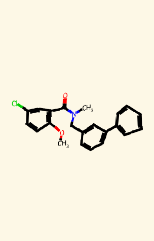 COc1ccc(Cl)cc1C(=O)N(C)Cc1cccc(-c2ccccc2)c1